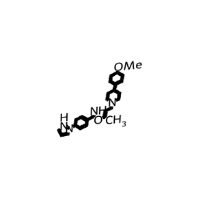 COC1CC=C(C2CCN(C/C=C(\C)OC(=N)C3=CCC(N4C=CCN4)C=C3)CC2)CC1